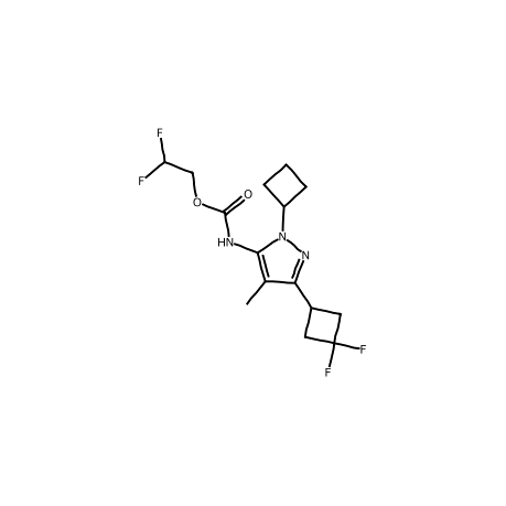 Cc1c(C2CC(F)(F)C2)nn(C2CCC2)c1NC(=O)OCC(F)F